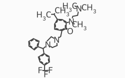 CC(C)c1ccc(CN2CCN(C(c3ccccc3)c3ccc(C(F)(F)F)cc3)CC2)c(=O)c(N(C)CCN(C)C)c1